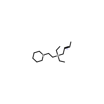 C/C=C/C[Si](CC)(CC)CCN1CCCCC1